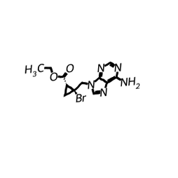 CCOC(=O)[C@H]1C[C@@]1(Br)Cn1cnc2c(N)ncnc21